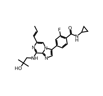 CC=Cc1cn2c(-c3ccc(C(=O)NC4CC4)c(F)c3)cnc2c(NCC(C)(C)O)n1